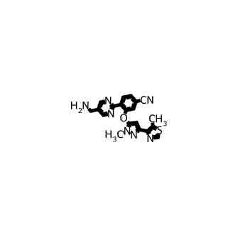 Cc1scnc1-c1cc(Oc2cc(C#N)ccc2-c2ncc(CN)cn2)n(C)n1